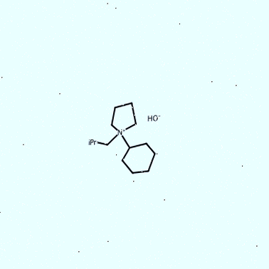 CC(C)C[N+]1(C2CCCCC2)CCCC1.[OH-]